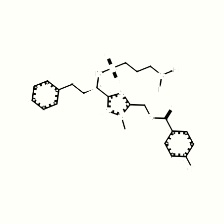 CCN(CC)CCCS(=O)(=O)N[C@H](CCc1ccccc1)c1nc(CNC(=O)c2ccc(F)cc2)n(C)n1